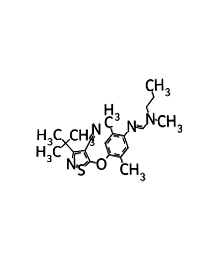 CCCN(C)C=Nc1cc(C)c(Oc2snc(C(C)(C)C)c2C#N)cc1C